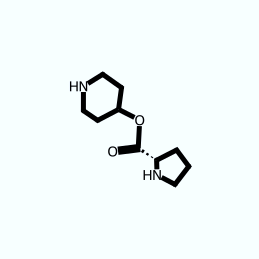 O=C(OC1CCNCC1)[C@@H]1CCCN1